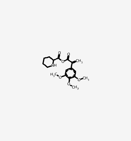 C=C(C(=O)OC(=O)C1CCCCN1)c1cc(OC)c(OC)c(OC)c1